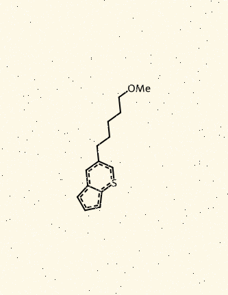 [CH2]OCCCCCc1csc2cccc-2c1